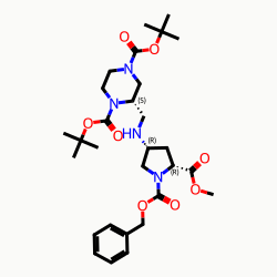 COC(=O)[C@H]1C[C@@H](NC[C@H]2CN(C(=O)OC(C)(C)C)CCN2C(=O)OC(C)(C)C)CN1C(=O)OCc1ccccc1